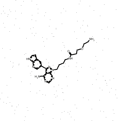 NCCOCCC(=O)NCCCCn1nc(-c2cnc3[nH]ccc3c2)c2c(N)ncnc21